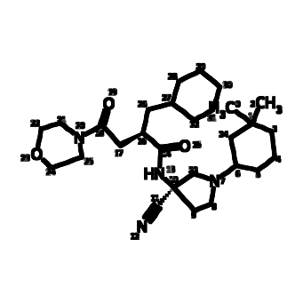 CC1(C)CCCC(N2CC[C@@](C#N)(NC(=O)[C@@H](CC(=O)N3CCOCC3)CC3CCCCC3)C2)C1